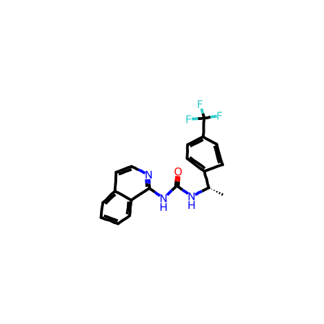 C[C@H](NC(=O)Nc1nccc2ccccc12)c1ccc(C(F)(F)F)cc1